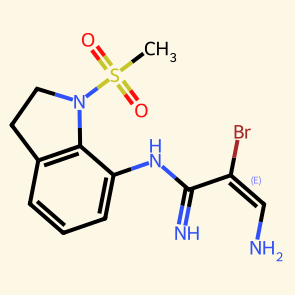 CS(=O)(=O)N1CCc2cccc(NC(=N)/C(Br)=C\N)c21